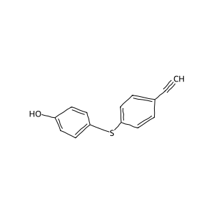 C#Cc1ccc(Sc2ccc(O)cc2)cc1